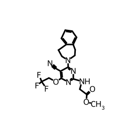 COC(=O)CNc1nc(OCC(F)(F)F)c(C#N)c(N2CCc3ccccc3CC2)n1